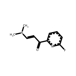 CN(C)C=CC(=O)c1cccc(F)n1